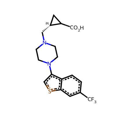 O=C(O)C1C[C@H]1CN1CCN(c2csc3cc(C(F)(F)F)ccc23)CC1